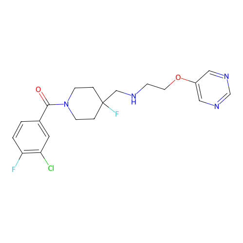 O=C(c1ccc(F)c(Cl)c1)N1CCC(F)(CNCCOc2cncnc2)CC1